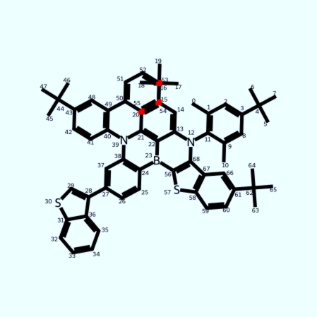 Cc1cc(C(C)(C)C)cc(C)c1N1c2cc(C(C)(C)C)cc3c2B(c2ccc(-c4csc5ccccc45)cc2N3c2ccc(C(C)(C)C)cc2-c2ccccc2)c2sc3ccc(C(C)(C)C)cc3c21